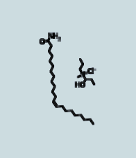 CCCCCCCC/C=C\CCCCCCCCCCCC(N)=O.CCC[N+](C)(C)C(O)CC.[Cl-]